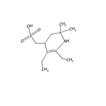 CCC1=C(CC)C(CS(=O)(=O)O)CC(C)(C)N1